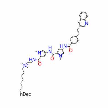 CCCCCCCCCCCCCCCCC[N+](C)(C)CCNC(=O)c1cc(NC(=O)c2cc(NC(=O)c3ccc(/C=C/c4cnc5ccccc5c4)cc3)cn2C)cn1C